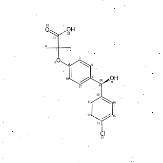 CC(C)(Oc1ccc([C@@H](O)c2ccc(Cl)cc2)cc1)C(=O)O